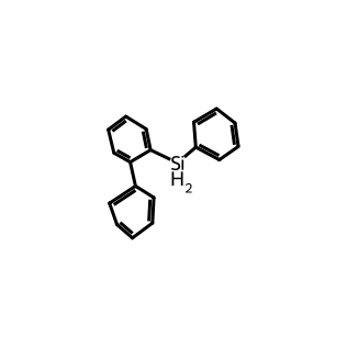 c1ccc([SiH2]c2ccccc2-c2ccccc2)cc1